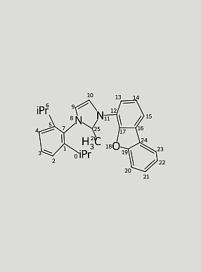 CC(C)c1cccc(C(C)C)c1N1C=CN(c2cccc3c2oc2ccccc23)C1C